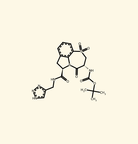 CC(C)(C)OC(=O)N[C@H]1CS(=O)(=O)c2cccc3c2N(C1=O)[C@@H](C(=O)NCc1c[nH]nn1)C3